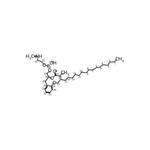 CCCCCCCCCCCCCCCCCCOc1ccccc1CC(COP(O)OCCNC)OC(=O)CC